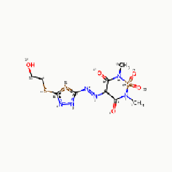 CN1C(=O)C(N=Nc2nnc(SCCO)s2)C(=O)N(C)S1(=O)=O